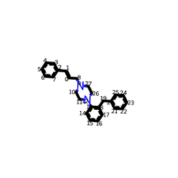 C(=C\c1ccccc1)/CN1CCN(c2ccccc2Cc2ccccc2)CC1